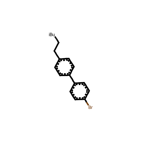 CCC(C)CCc1ccc(-c2ccc(Br)cc2)cc1